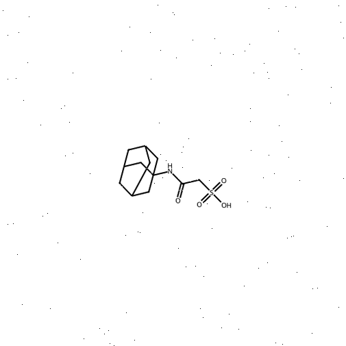 O=C(CS(=O)(=O)O)NC12CC3CC(CC(C3)C1)C2